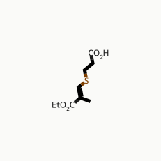 CCOC(=O)C(C)=CSCCC(=O)O